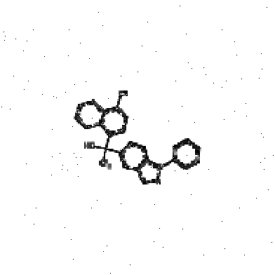 N#Cc1ccc(C(O)(c2ccc3c(cnn3-c3ccccc3)c2)C(F)(F)F)c2ccccc12